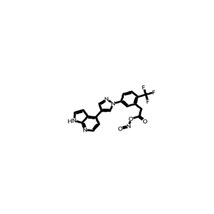 O=NOC(=O)Cc1cc(-n2cc(-c3ccnc4[nH]ccc34)cn2)ccc1C(F)(F)F